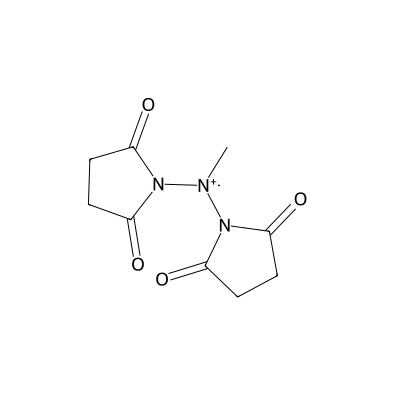 C[N+](N1C(=O)CCC1=O)N1C(=O)CCC1=O